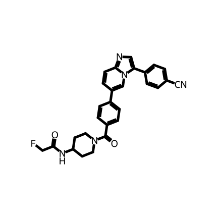 N#Cc1ccc(-c2cnc3ccc(-c4ccc(C(=O)N5CCC(NC(=O)CF)CC5)cc4)cn23)cc1